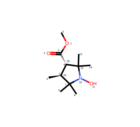 COC(=O)[C@H]1[C@H](C)C(C)(C)N(O)C1(C)C